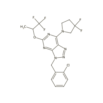 CC(Oc1nc(N2CCC(F)(F)C2)c2nnn(Cc3ccccc3Cl)c2n1)C(F)(F)F